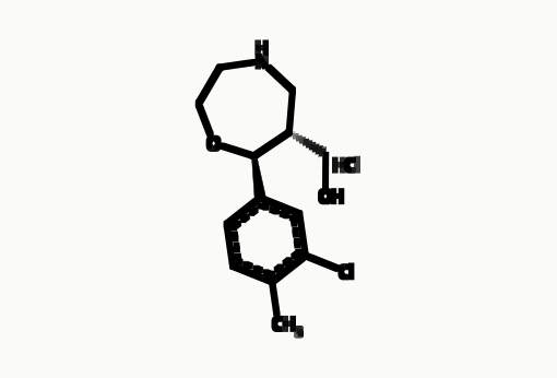 Cc1ccc([C@H]2OCCNC[C@@H]2CO)cc1Cl.Cl